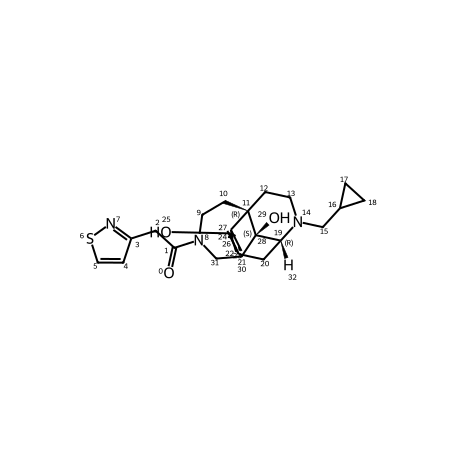 O=C(Cc1ccsn1)N1CC[C@]23CCN(CC4CC4)[C@H](Cc4ccc(O)cc42)[C@]3(O)CC1